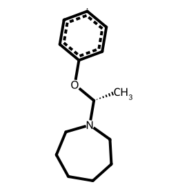 C[C@@H](Oc1cc[c]cc1)N1CCCCCC1